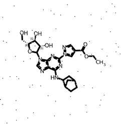 CCOC(=O)c1cnn(-c2nc(NC3CC4CCC3C4)c3ncn(C4O[C@H](CO)[C@@H](O)[C@@H]4O)c3n2)c1